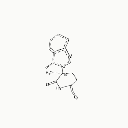 C[C@]1(n2cnc3ccccc3c2=O)CCC(=O)NC1=O